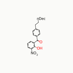 CCCCCCCCCCCCc1ccc(C(=O)c2cccc([N+](=O)[O-])c2O)cc1